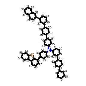 c1ccc(-c2ccc(-c3cccc(N(c4ccc(-c5ccc(-c6cccc(-c7ccc8ccccc8c7)c6)cc5)cc4)c4ccc(-c5cccc6c5sc5ccccc56)cc4)c3)cc2)cc1